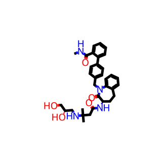 CNC(=O)c1ccccc1-c1ccc(CN2C(=O)[C@H](NC(=O)CC(C)(C)NC[C@H](O)CO)CCc3ccccc32)cc1